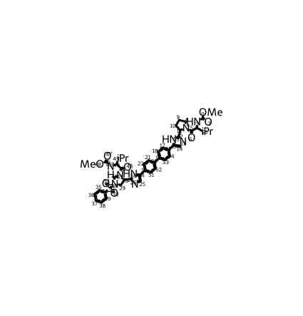 COC(=O)NC(C(=O)N1CCCC1c1ncc(-c2ccc(-c3ccc(-c4cnc(C5CN(S(=O)(=O)c6ccccc6)CN5C(=O)C(NC(=O)OC)C(C)C)[nH]4)cc3)cc2)[nH]1)C(C)C